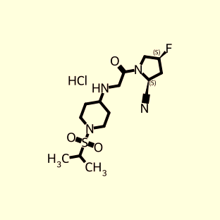 CC(C)S(=O)(=O)N1CCC(NCC(=O)N2C[C@@H](F)C[C@H]2C#N)CC1.Cl